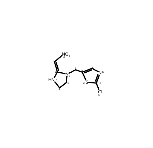 O=[N+]([O-])C=C1NCCN1Cc1cnc(Cl)s1